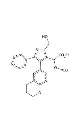 CCOC(=O)C(OC(C)(C)C)c1c(CO)sc(-c2ccncc2)c1-c1ccc2c(c1)CCCO2